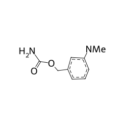 CNc1cccc(COC(N)=O)c1